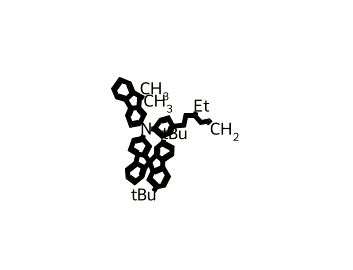 C=CCC(CC)CCc1ccc(N(c2ccc3c(c2)C(C)(C)c2ccccc2-3)c2ccc3c(c2)C2(c4ccccc4-3)c3cc(C(C)(C)C)ccc3-c3ccc(C(C)(C)C)cc32)cc1